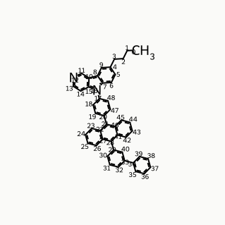 CCCCc1ccc2c(c1)c1cnccc1n2-c1ccc(-c2c3ccccc3c(-c3cccc(-c4ccccc4)c3)c3ccccc23)cc1